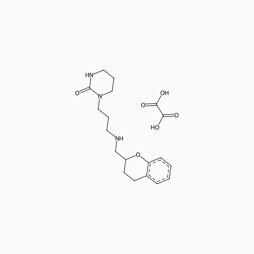 O=C(O)C(=O)O.O=C1NCCCN1CCCNCC1CCc2ccccc2O1